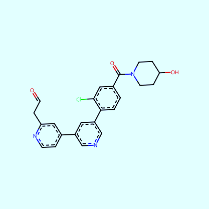 O=CCc1cc(-c2cncc(-c3ccc(C(=O)N4CCC(O)CC4)cc3Cl)c2)ccn1